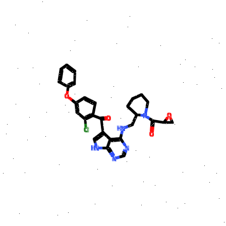 O=C(c1ccc(Oc2ccccc2)cc1Cl)c1c[nH]c2ncnc(NCC3CCCCN3C(=O)C3CO3)c12